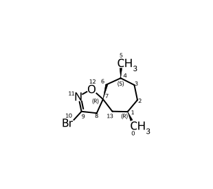 C[C@@H]1CC[C@H](C)C[C@]2(CC(Br)=NO2)C1